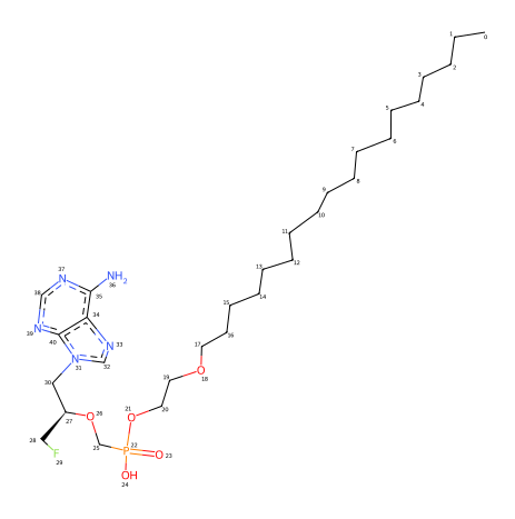 CCCCCCCCCCCCCCCCCCOCCOP(=O)(O)CO[C@@H](CF)Cn1cnc2c(N)ncnc21